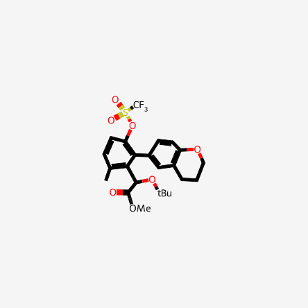 COC(=O)C(OC(C)(C)C)c1c(C)ccc(OS(=O)(=O)C(F)(F)F)c1-c1ccc2c(c1)CCCO2